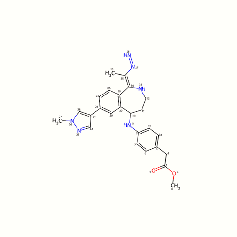 COC(=O)Cc1ccc(NC2CCN/C(=C(/C)N=N)c3ccc(-c4cnn(C)c4)cc32)cc1